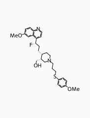 COc1ccc(SCCCN2CC[C@@H](CC[C@H](F)c3ccnc4ccc(OC)cc34)[C@@H](CO)C2)cc1